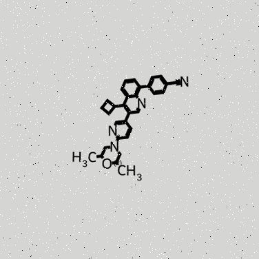 CC1CN(c2ccc(-c3cnc4c(-c5ccc(C#N)cc5)cccc4c3C3CCC3)cn2)C[C@@H](C)O1